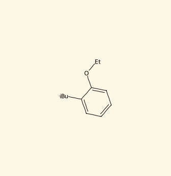 CCOc1ccccc1[C](C)CC